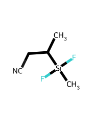 CC(CC#N)[Si](C)(F)F